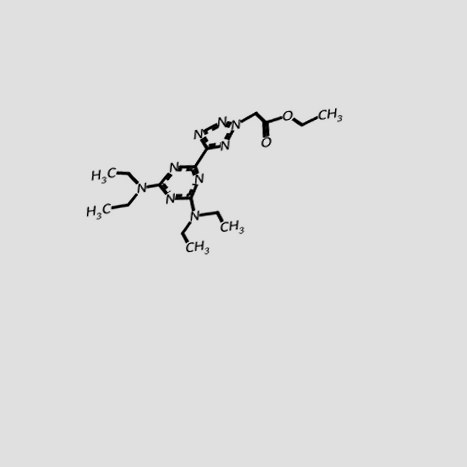 CCOC(=O)Cn1nnc(-c2nc(N(CC)CC)nc(N(CC)CC)n2)n1